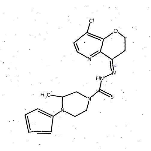 CC1CN(C(=S)N/N=C2/CCOc3c(Cl)ccnc32)CCN1c1ccccc1